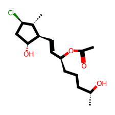 CC(=O)O[C@H](/C=C/[C@@H]1[C@@H](C)[C@H](Cl)C[C@H]1O)CCC[C@@H](C)O